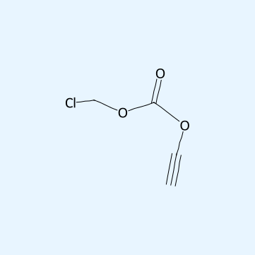 C#COC(=O)OCCl